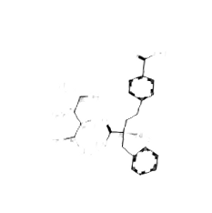 C[C@H](O)[C@@H](O)[C@@H](O)[C@@H](C)O.NC(=O)[C@](N)(CCc1ccc(C(=O)O)cc1)Cc1ccccc1